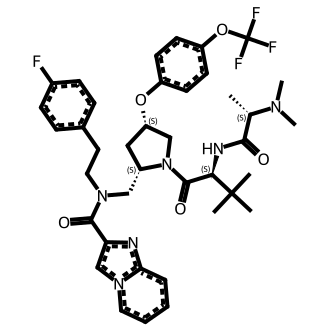 C[C@@H](C(=O)N[C@H](C(=O)N1C[C@@H](Oc2ccc(OC(F)(F)F)cc2)C[C@H]1CN(CCc1ccc(F)cc1)C(=O)c1cn2ccccc2n1)C(C)(C)C)N(C)C